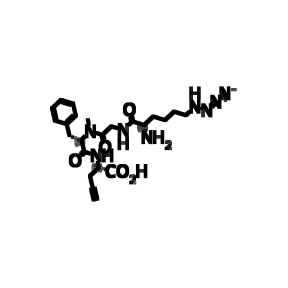 C#CC[C@H](NC(=O)[C@H](Cc1ccccc1)N(C)C(=O)CNC(=O)[C@@H](N)CCCCNN=[N+]=[N-])C(=O)O